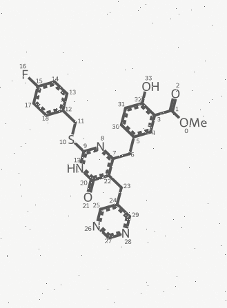 COC(=O)c1cc(Cc2nc(SCc3ccc(F)cc3)[nH]c(=O)c2Cc2cncnc2)ccc1O